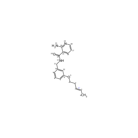 C/C=C/CCOc1cccc(CNC(=O)c2cccnc2N)c1